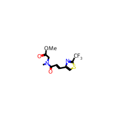 COC(=O)CN(C)C(=O)/C=C/c1csc(C(F)(F)F)n1